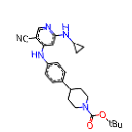 CC(C)(C)OC(=O)N1CCC(c2ccc(Nc3cc(NC4CC4)ncc3C#N)cc2)CC1